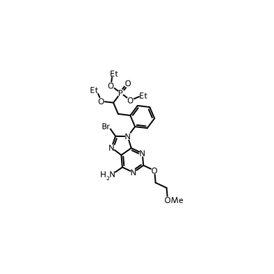 CCOC(Cc1ccccc1-n1c(Br)nc2c(N)nc(OCCOC)nc21)P(=O)(OCC)OCC